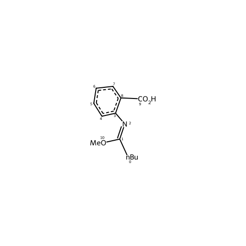 CCCCC(=Nc1ccccc1C(=O)O)OC